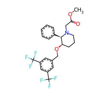 COC(=O)CN1CCC[C@@H](OCc2cc(C(F)(F)F)cc(C(F)(F)F)c2)[C@H]1c1ccccc1